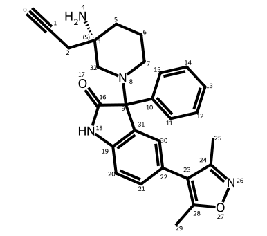 C#CC[C@@]1(N)CCCN(C2(c3ccccc3)C(=O)Nc3ccc(-c4c(C)noc4C)cc32)C1